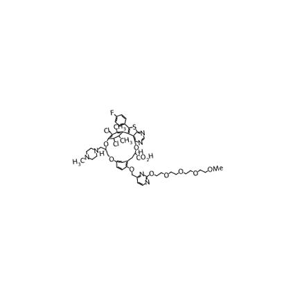 COCCOCCOCCOCCOc1nccc(COc2ccc3cc2C[C@H](C(=O)O)Oc2ncnc4sc(-c5ccc(F)cc5)c(c24)C2=C(C)C(Cl)=C(O[C@H](CN4CCN(C)CC4)CO3)C(Cl)C2C)n1